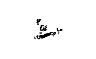 [Ga].[La].[O]=[Co].[Sr]